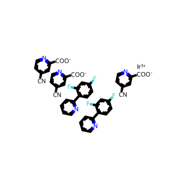 Fc1ccc(-c2ccccn2)c(F)c1.Fc1ccc(-c2ccccn2)c(F)c1.N#Cc1ccnc(C(=O)[O-])c1.N#Cc1ccnc(C(=O)[O-])c1.N#Cc1ccnc(C(=O)[O-])c1.[Ir+3]